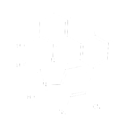 Cc1cccc(-c2ccccc2)c1N1c2ccc(C#N)c(C#N)c2N(C)[C@@H]1C